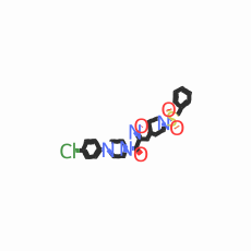 O=C(C1=NOC2(CCN(S(=O)(=O)Cc3ccccc3)CC2)C1)N1CCN(c2ccc(Cl)cc2)CC1